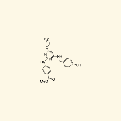 COC(=O)c1ccc(Nc2nc(NCc3ccc(O)cc3)nc(OCC(F)(F)F)n2)cc1